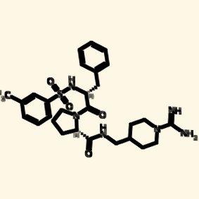 N=C(N)N1CCC(CNC(=O)[C@@H]2CCCN2C(=O)[C@@H](Cc2ccccc2)NS(=O)(=O)c2cccc(C(F)(F)F)c2)CC1